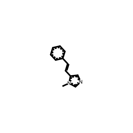 Cn1cncc1C=Cc1ccccc1